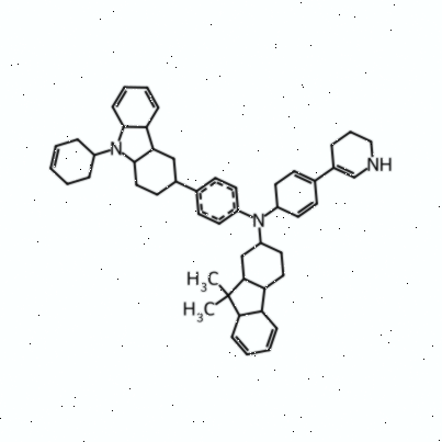 CC1(C)C2C=CC=CC2C2CCC(N(c3ccc(C4CCC5C(C4)C4C=CC=CC4N5C4CC=CCC4)cc3)C3C=CC(C4=CNCCC4)=CC3)CC21